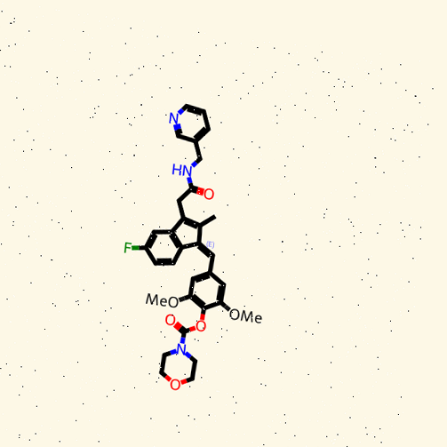 COc1cc(/C=C2/C(C)=C(CC(=O)NCc3cccnc3)c3cc(F)ccc32)cc(OC)c1OC(=O)N1CCOCC1